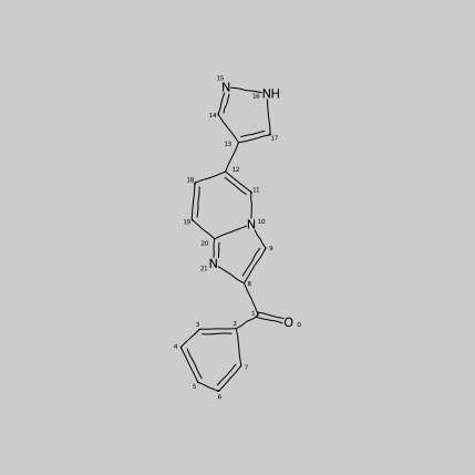 O=C(c1ccccc1)c1cn2cc(-c3cn[nH]c3)ccc2n1